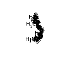 C[C@@H]1CNc2c(sc3ccc4nc(-c5ccnc(N6CCN(Cc7cccc8c7n(C)c(=O)n8C7CCC(=O)NC7=O)CC6)c5)ccc4c23)C(=O)N1